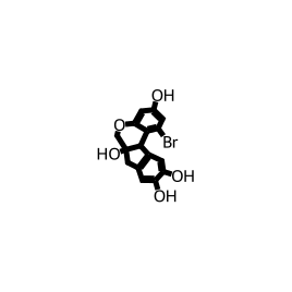 Oc1cc(Br)c2c(c1)OCC1(O)Cc3cc(O)c(O)cc3C21